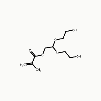 C=C(C)C(=O)OCC(OCCO)OCCO